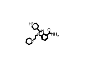 NC(=O)c1cccc2c1nc(C1CCNCC1)n2CCN1CCCCC1